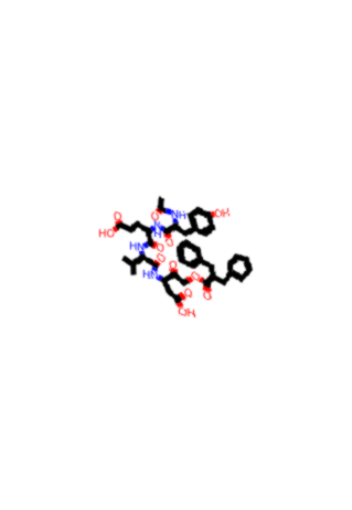 CC(=O)NC(Cc1ccc(O)cc1)C(=O)NC(CCC(=O)O)C(=O)NC(C(=O)NC(CC(=O)O)C(=O)COC(=O)C(Cc1ccccc1)Cc1ccccc1)C(C)C